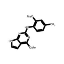 COc1cc(C)ccc1Nc1nc(OC)c2cc[nH]c2n1